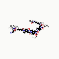 CCOC(=O)n1c(C(=O)N2CCc3c2ccc2c3cc(C(=O)N(C)CCCCCCN(C)C=O)n2C(=O)OCC)cc2c3c(ccc21)N(C(=O)c1cc2c4c(ccc2n1C=O)N(C(=O)CCCCCOP(OCCC#N)N(C(C)C)C(C)C)CC4)CC3